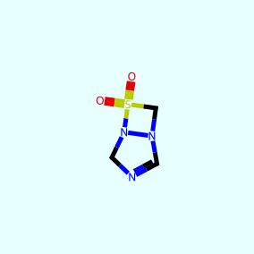 O=S1(=O)CN2C=NCN21